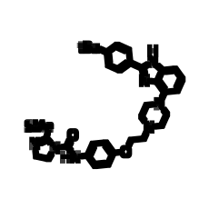 CSC1=NCCN1C(=O)Nc1ccc(OCCN2CCN(c3cccc4[nH]c(-c5ccc(C(C)(C)C)cc5)nc34)CC2)cc1